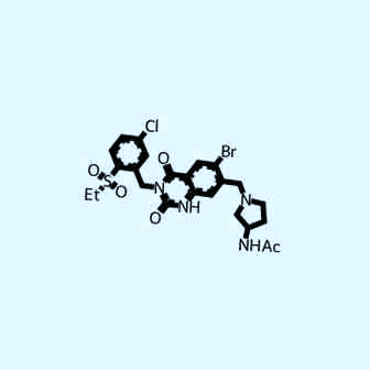 CCS(=O)(=O)c1ccc(Cl)cc1Cn1c(=O)[nH]c2cc(CN3CCC(NC(C)=O)C3)c(Br)cc2c1=O